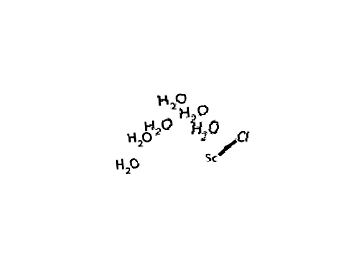 O.O.O.O.O.O.[Cl][Sc]